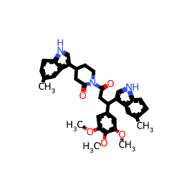 COc1cc(C(CC(=O)N2CCC(c3c[nH]c4ccc(C)cc34)CC2=O)c2c[nH]c3ccc(C)cc23)cc(OC)c1OC